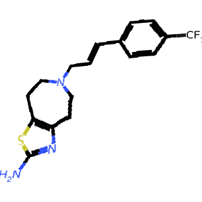 Nc1nc2c(s1)CCN(CC=Cc1ccc(C(F)(F)F)cc1)CC2